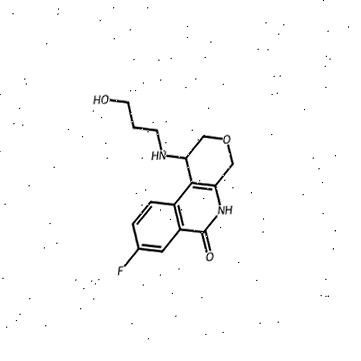 O=c1[nH]c2c(c3ccc(F)cc13)C(NCCCO)COC2